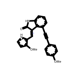 COc1ccc(C#Cc2cccc3c2/C(=C/c2[nH]ccc2OC)C(=O)N3)cc1